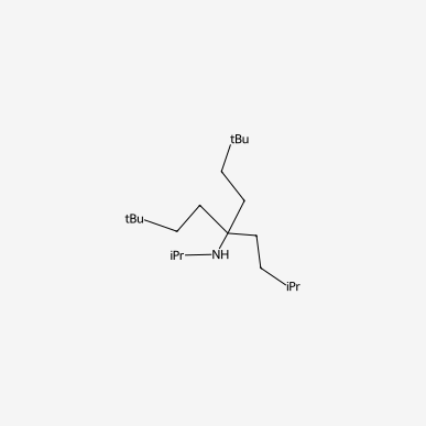 CC(C)CCC(CCC(C)(C)C)(CCC(C)(C)C)NC(C)C